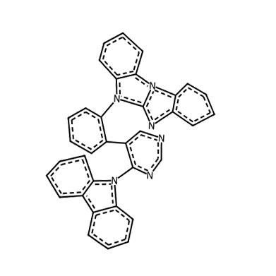 c1ccc(-n2c3ccccc3n3c4ccccc4nc23)c(-c2cncnc2-n2c3ccccc3c3ccccc32)c1